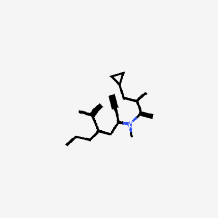 C#CC(CC(CCC)C(=C)C)N(C)C(=C)C(C)CC1CC1